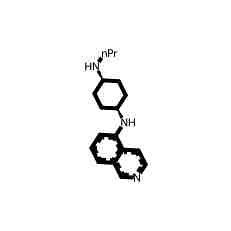 CCCN[C@H]1CC[C@@H](Nc2cccc3cnccc23)CC1